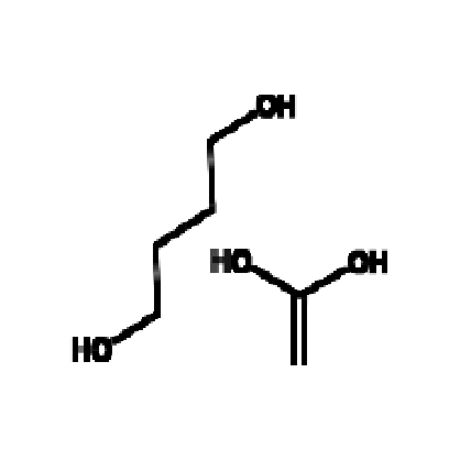 C=C(O)O.OCCCCO